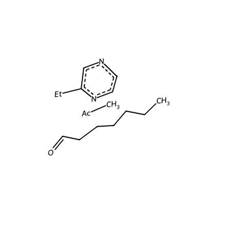 CC(C)=O.CCCCCCC=O.CCc1cnccn1